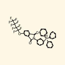 O=C1c2ccc(OC(F)(F)C(F)(F)C(F)(F)C(F)(F)F)cc2C(=O)N1c1cccc([PH](c2ccccc2)(c2ccccc2)c2ccccc2)c1